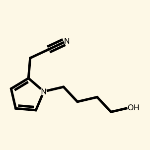 N#CCc1cccn1CCCCO